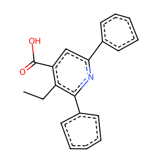 CCc1c(C(=O)O)cc(-c2ccccc2)nc1-c1ccccc1